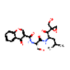 CC(C)CC(NC(=O)[C@H](CO)NC(=O)c1coc2ccccc2c1=O)C(=O)C1(CO)CO1